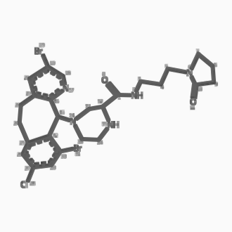 O=C(NCCCN1CCCC1=O)C1CN(C2c3ncc(Br)cc3CCc3cc(Cl)cc(Br)c32)CCN1